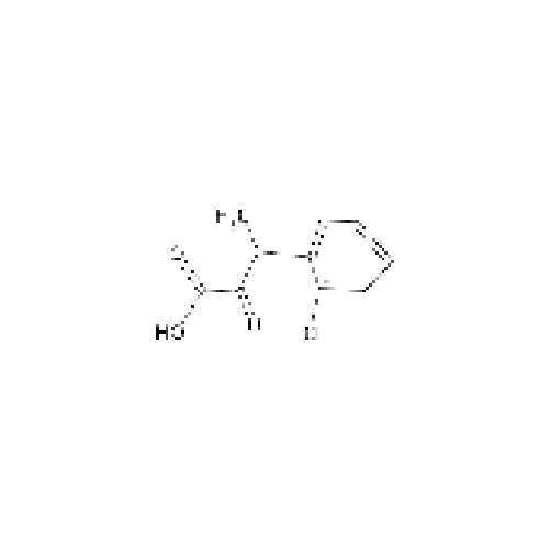 CC(C(=O)C(=O)O)c1ccccc1Cl